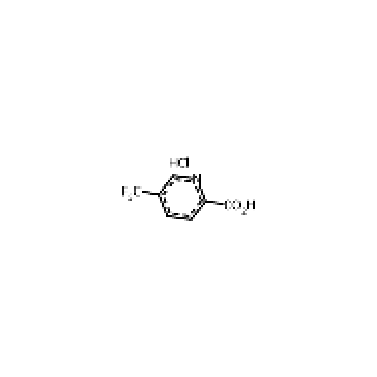 Cl.O=C(O)c1ccc(C(F)(F)F)cn1